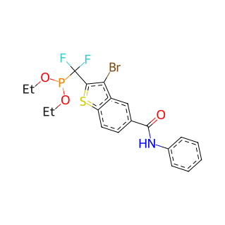 CCOP(OCC)C(F)(F)c1sc2ccc(C(=O)Nc3ccccc3)cc2c1Br